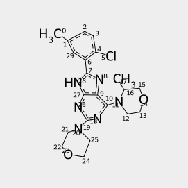 Cc1ccc(Cl)c(-c2nc3c(N4CCOCC4C)nc(N4CCOCC4)nc3[nH]2)c1